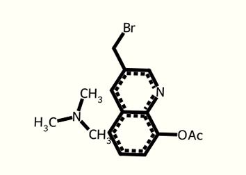 CC(=O)Oc1cccc2cc(CBr)cnc12.CN(C)C